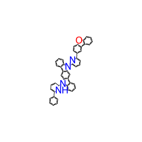 C1=CC(n2c3ccccc3c3cc4c(cc32)c2ccccc2n4-c2cccc(-c3ccc4oc5ccccc5c4c3)n2)NC(c2ccccc2)=C1